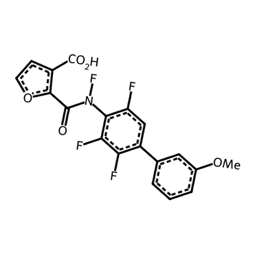 COc1cccc(-c2cc(F)c(N(F)C(=O)c3occc3C(=O)O)c(F)c2F)c1